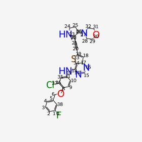 Fc1cccc(COc2ccc(Nc3ncnc4cc(C#C[C@H]5NCC[C@@H]5N5CCOCC5)sc34)cc2Cl)c1